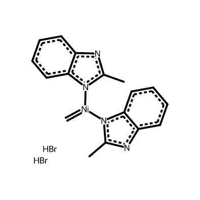 Br.Br.[CH2]=[Ni]([n]1c(C)nc2ccccc21)[n]1c(C)nc2ccccc21